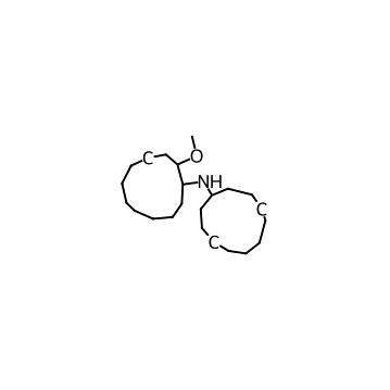 COC1CCCCCCCCCC1NC1CCCCCCCCCC1